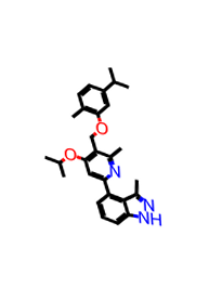 Cc1ccc(C(C)C)cc1OCc1c(OC(C)C)cc(-c2cccc3[nH]nc(C)c23)nc1C